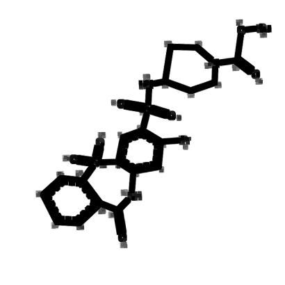 CC(C)c1cc2c(cc1S(=O)(=O)NC1CCN(C(=O)OC(C)(C)C)CC1)S(=O)(=O)c1ccccc1C(=O)N2